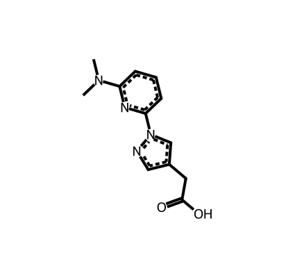 CN(C)c1cccc(-n2cc(CC(=O)O)cn2)n1